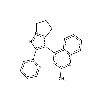 Cc1cc(-c2c(-c3ccccn3)nn3c2CCC3)c2ccccc2n1